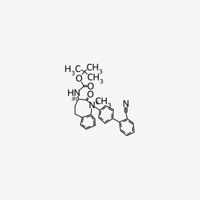 CC(C)(C)OC(=O)N[C@@H]1CCc2ccccc2[N+](C)(c2ccc(-c3ccccc3C#N)cc2)C1=O